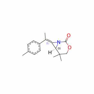 C/C(=C1/[C@H]2N1C(=O)OCC2(C)C)c1ccc(C)cc1